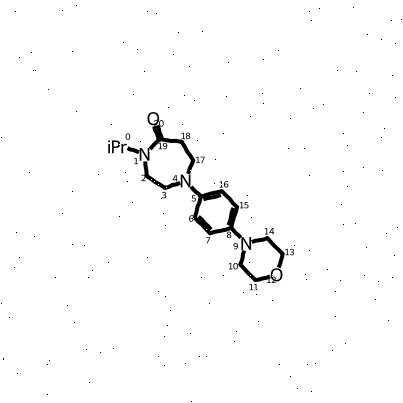 CC(C)N1CCN(c2ccc(N3CCOCC3)cc2)CCC1=O